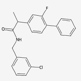 CC(C(=O)NCc1cccc(Cl)c1)c1ccc(-c2ccccc2)c(F)c1